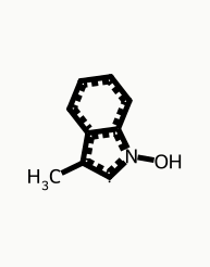 Cc1[c]n(O)c2ccccc12